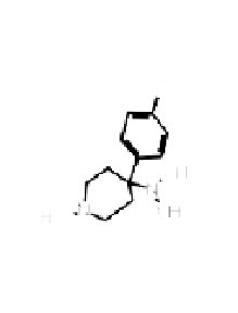 CN1CCC(c2ccc(F)cc2)(N(C)C)CC1